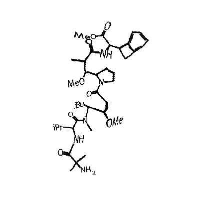 CCC(C)C(C(CC(=O)N1CCCC1C(OC)C(C)C(=O)NC(C(=O)OC)C1Cc2ccccc21)OC)N(C)C(=O)C(NC(=O)C(C)(C)N)C(C)C